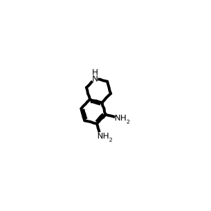 Nc1ccc2c(c1N)CCNC2